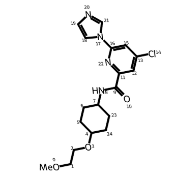 COCCOC1CCC(NC(=O)c2cc(Cl)cc(-n3ccnc3)n2)CC1